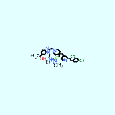 C=C/N=C\N(CC)CCn1c(CN2CCC(CF)(Cc3ccnc(CCc4ccc(Cl)cc4Cl)c3)CC2)nc2ccc(C(=C)O)cc21